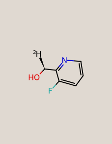 [2H][C@H](O)c1ncccc1F